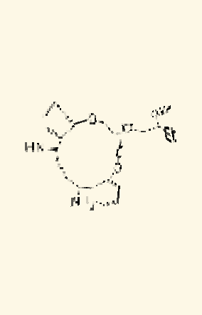 CCC(COC1COc2ccccc2C(=N)CCC(N)c2ccccc2OC1)OC